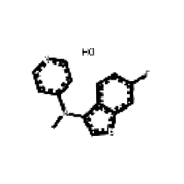 CN(c1ccncc1)c1csc2cc(F)ccc12.Cl